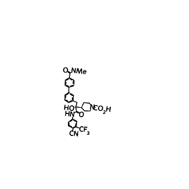 CNC(=O)c1ccc(-c2cccc(CC(O)(C(=O)Nc3ccc(C#N)c(C(F)(F)F)c3)C3CCN(C(=O)O)CC3)c2)cc1